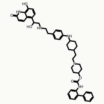 O=C(Nc1ccccc1-c1ccccc1)OC1CCN(CCC2CCC(Nc3ccc(CCNCC(O)c4ccc(O)c5[nH]c(=O)ccc45)cc3)CC2)CC1